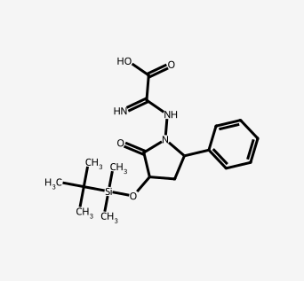 CC(C)(C)[Si](C)(C)OC1CC(c2ccccc2)N(NC(=N)C(=O)O)C1=O